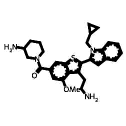 COc1cc(C(=O)N2CCCC(N)C2)cc2sc(-c3cc4ccccc4n3CC3CC3)c(CCN)c12